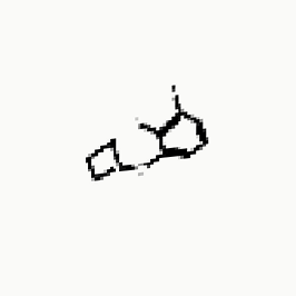 Fc1cccc(ON2CCC2)c1F